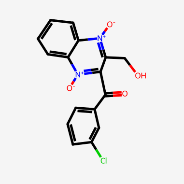 O=C(c1cccc(Cl)c1)c1c(CO)[n+]([O-])c2ccccc2[n+]1[O-]